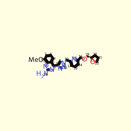 COc1cccc2c(-c3cn(Cc4cccc(COC[C@H]5CCCO5)n4)nn3)nc(N)nc12